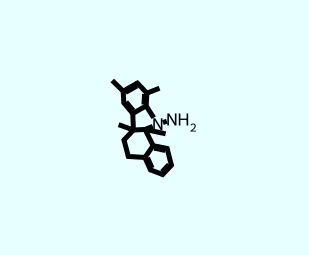 Cc1cc(C)c2c(c1)C1(C)CCc3ccccc3C1(C)N2N